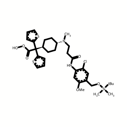 COc1cc(NC(=O)CCN(C)[C@H]2CC[C@H](C(C(=O)OO)(c3cccs3)c3cccs3)CC2)c(Cl)cc1CO[Si](C)(C)C(C)(C)C